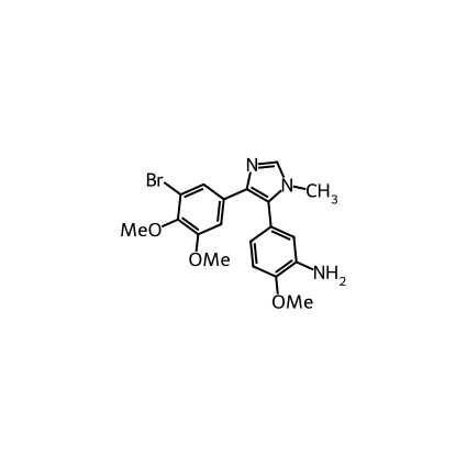 COc1ccc(-c2c(-c3cc(Br)c(OC)c(OC)c3)ncn2C)cc1N